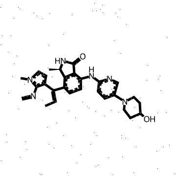 C=Nc1c(/C(=C\C)c2ccc(Nc3ccc(N4CCC(O)CC4)cn3)c3c2[C@@H](C)NC3=O)ccn1C